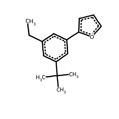 CCc1cc(-c2ccco2)cc(C(C)(C)C)c1